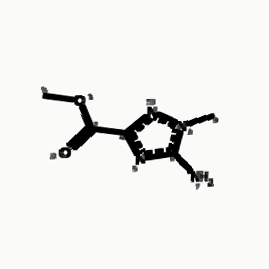 COC(=O)c1nc(N)n(C)n1